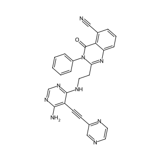 N#Cc1cccc2nc(CCNc3ncnc(N)c3C#Cc3cnccn3)n(-c3ccccc3)c(=O)c12